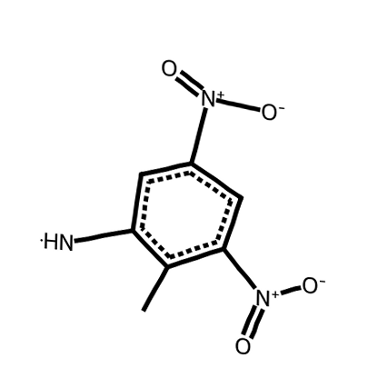 Cc1c([NH])cc([N+](=O)[O-])cc1[N+](=O)[O-]